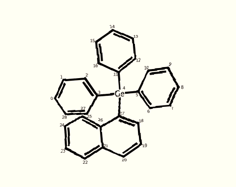 c1cc[c]([Ge]([c]2ccccc2)([c]2ccccc2)[c]2cccc3ccccc23)cc1